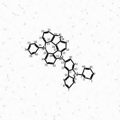 c1ccc(-n2c3ccccc3c3cc(-n4c5ccc6sc7cccc8c7c6c5c5c(cccc54)n8-c4ccccc4)ccc32)cc1